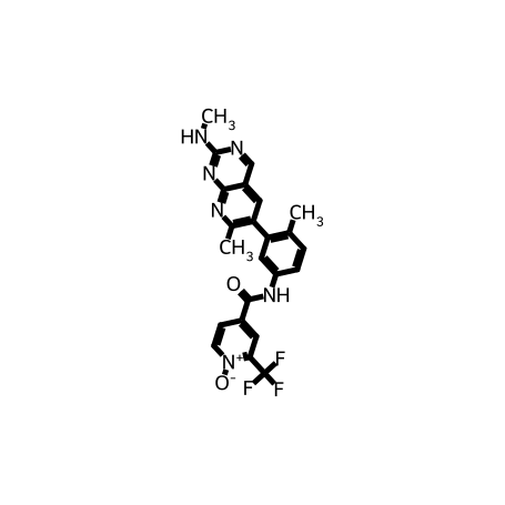 CNc1ncc2cc(-c3cc(NC(=O)c4cc[n+]([O-])c(C(F)(F)F)c4)ccc3C)c(C)nc2n1